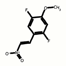 COc1cc(F)c(/C=C/[N+](=O)[O-])cc1F